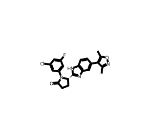 Cc1noc(C)c1-c1ccc2[nH]c([C@@H]3CCC(=O)N3c3cc(F)cc(Cl)c3)nc2c1